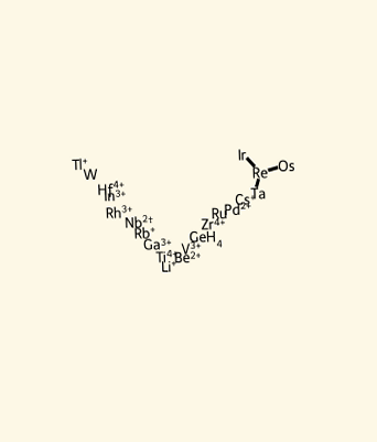 [Be+2].[Cs+].[Ga+3].[GeH4].[Hf+4].[In+3].[Li+].[Nb+2].[Pd+2].[Rb+].[Rh+3].[Ru].[Ta][Re]([Os])[Ir].[Ti+4].[Tl+].[V+3].[W].[Zr+4]